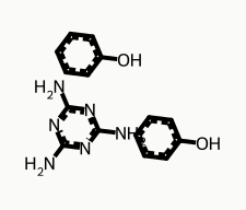 Nc1nc(N)nc(N)n1.Oc1ccccc1.Oc1ccccc1